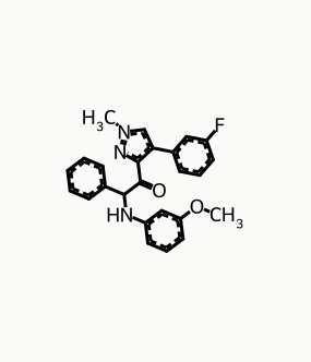 COc1cccc(NC(C(=O)c2nn(C)cc2-c2cccc(F)c2)c2ccccc2)c1